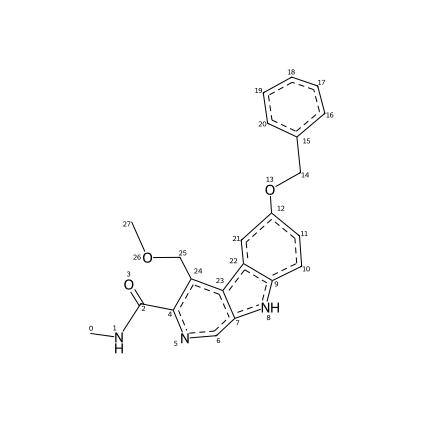 CNC(=O)c1ncc2[nH]c3ccc(OCc4ccccc4)cc3c2c1COC